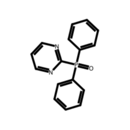 O=P(c1ccccc1)(c1ccccc1)c1ncccn1